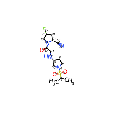 CC(C)S(=O)(=O)N1CC[C@@H](NCC(=O)N2C[C@@H](F)C[C@H]2C#N)C1